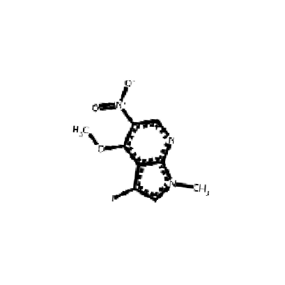 COc1c([N+](=O)[O-])cnc2c1c(I)cn2C